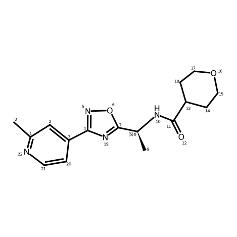 Cc1cc(-c2noc([C@H](C)NC(=O)C3CCOCC3)n2)ccn1